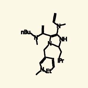 C=CN(C)C1=C(C(=C)N(C)CCCC)N(CC(/C=C\CC)=C/N(C)C)C(CC(C)C)N1